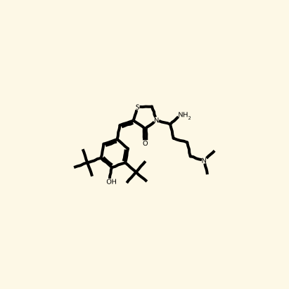 CN(C)CCCC(N)N1CSC(=Cc2cc(C(C)(C)C)c(O)c(C(C)(C)C)c2)C1=O